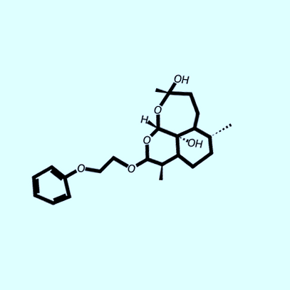 C[C@H]1C(OCCOc2ccccc2)O[C@@H]2O[C@](C)(O)CCC3[C@H](C)CCC1[C@]32O